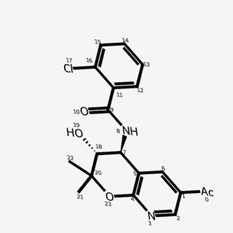 CC(=O)c1cnc2c(c1)[C@H](NC(=O)c1ccccc1Cl)[C@@H](O)C(C)(C)O2